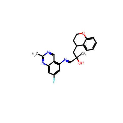 Cc1ncc2c(N=CC(O)(CC3CCOc4ccccc43)C(F)(F)F)cc(F)cc2n1